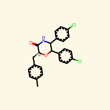 Cc1ccc(C[C@@H]2OC(c3ccc(Cl)cc3)C(c3ccc(Cl)cc3)NC2=O)cc1